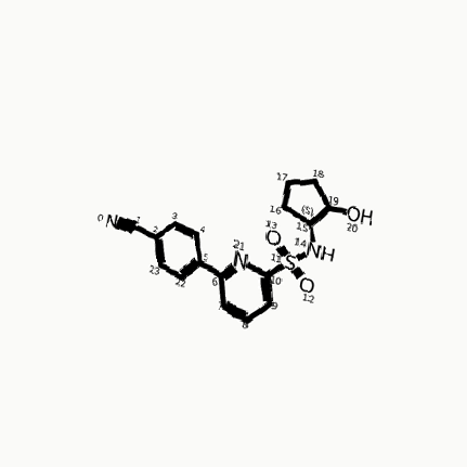 N#Cc1ccc(-c2cccc(S(=O)(=O)N[C@H]3CCCC3O)n2)cc1